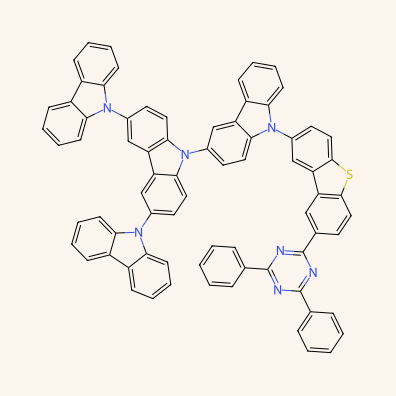 c1ccc(-c2nc(-c3ccccc3)nc(-c3ccc4sc5ccc(-n6c7ccccc7c7cc(-n8c9ccc(-n%10c%11ccccc%11c%11ccccc%11%10)cc9c9cc(-n%10c%11ccccc%11c%11ccccc%11%10)ccc98)ccc76)cc5c4c3)n2)cc1